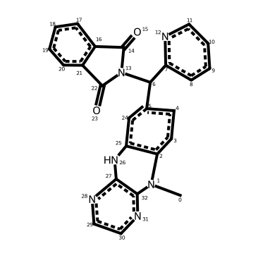 CN1c2ccc(C(c3ccccn3)N3C(=O)c4ccccc4C3=O)cc2Nc2nccnc21